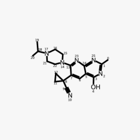 Cc1nc(O)c2cc(C3(C#N)CC3)c(N3CCN(C(C)C)CC3)nc2n1